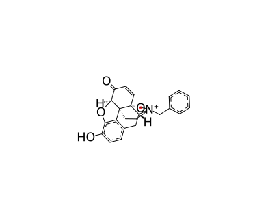 O=C1C=C[C@]23OC[N+]4(Cc5ccccc5)CC[C@@]25c2c(ccc(O)c2O[C@@H]15)C[C@H]34